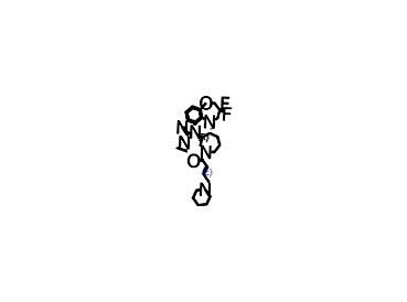 CN1CC(F)(F)COc2ccc3nc(N4CC4)n([C@@H]4CCCCN(C(=O)/C=C/CN5CCCCC5)C4)c3c21